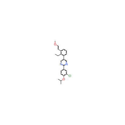 CCc1c(/C=C/OC)cccc1-c1cnc(-c2ccc(OC(C)C)c(Cl)c2)nc1